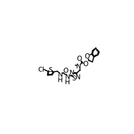 CN(Cc1nsc(NC(=O)NCc2ccc(Cl)s2)n1)C(=O)OC1Cc2ccccc2O1